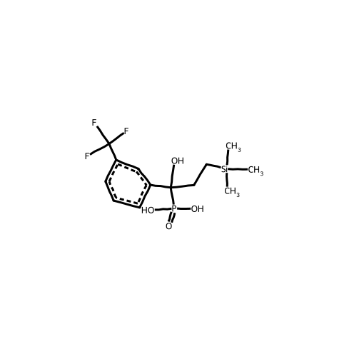 C[Si](C)(C)CCC(O)(c1cccc(C(F)(F)F)c1)P(=O)(O)O